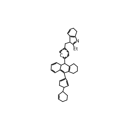 CCC1=NC2=C(C=CCC2)C1Cc1ccc(C2C3=C(CCCC3)C(C3=CCC(C4C=CCCC4)C=C3)=C3C=CC=CC32)cc1